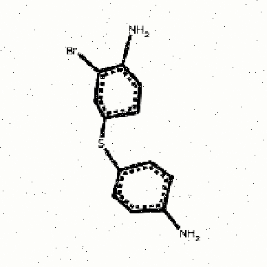 Nc1ccc(Sc2ccc(N)c(Br)c2)cc1